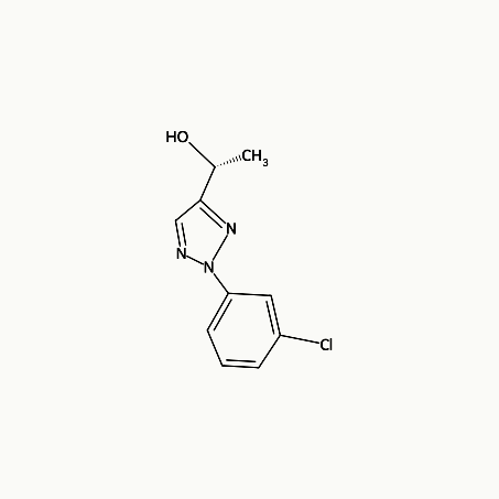 C[C@@H](O)c1cnn(-c2cccc(Cl)c2)n1